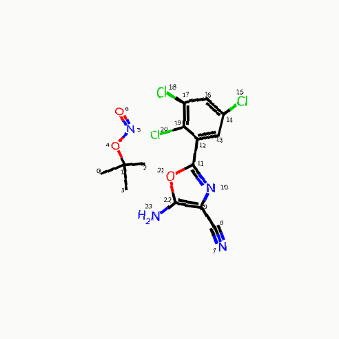 CC(C)(C)ON=O.N#Cc1nc(-c2cc(Cl)cc(Cl)c2Cl)oc1N